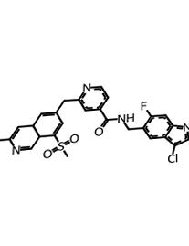 CC1=CC2C=C(Cc3cc(C(=O)NCc4cc5c(Cl)c[nH]c5cc4F)ccn3)C=C(S(C)(=O)=O)C2C=N1